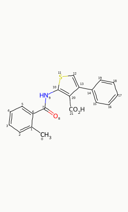 Cc1ccccc1C(=O)Nc1scc(-c2ccccc2)c1C(=O)O